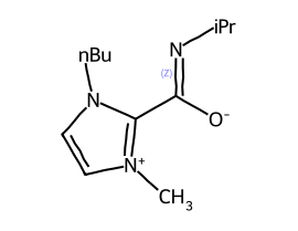 CCCCn1cc[n+](C)c1/C([O-])=N/C(C)C